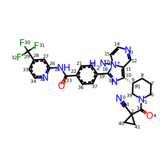 N#CC1(C(=O)N2CCC[C@@H](C3=C4C=NC=C[N+]4(N)C(c4ccc(C(=O)Nc5cc(C(F)(F)F)ccn5)cc4)=N3)C2)CC1